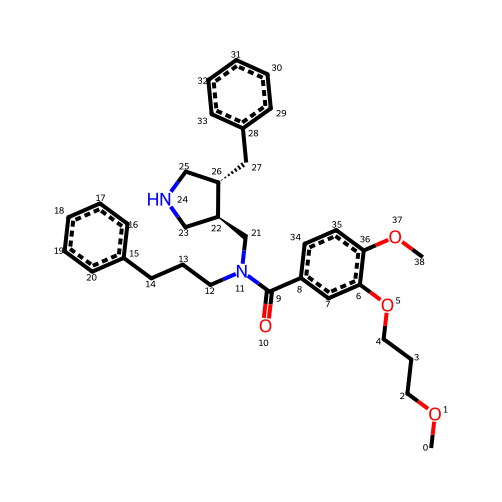 COCCCOc1cc(C(=O)N(CCCc2ccccc2)C[C@H]2CNC[C@@H]2Cc2ccccc2)ccc1OC